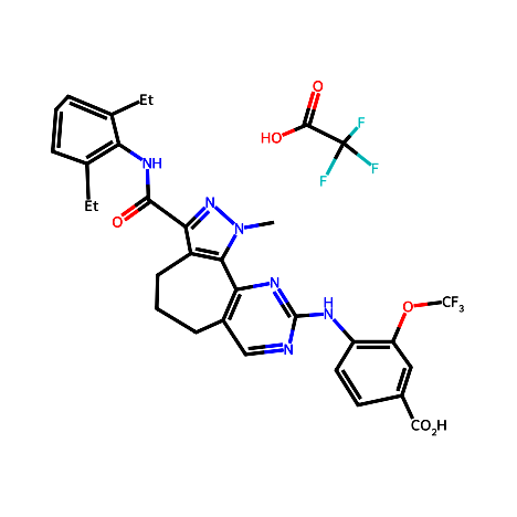 CCc1cccc(CC)c1NC(=O)c1nn(C)c2c1CCCc1cnc(Nc3ccc(C(=O)O)cc3OC(F)(F)F)nc1-2.O=C(O)C(F)(F)F